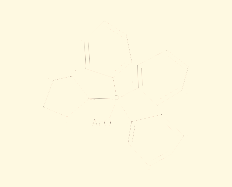 CC(=O)OP(c1ccccc1)(c1ccccc1)(c1ccccc1)C1CCCC1